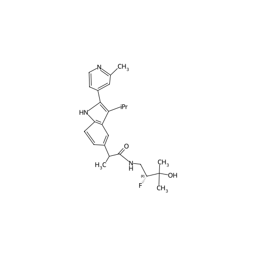 Cc1cc(-c2[nH]c3ccc(C(C)C(=O)NC[C@@H](F)C(C)(C)O)cc3c2C(C)C)ccn1